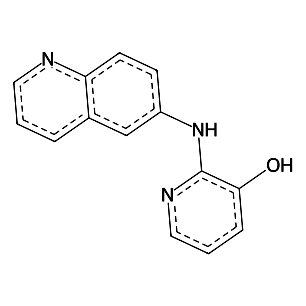 Oc1cccnc1Nc1ccc2ncccc2c1